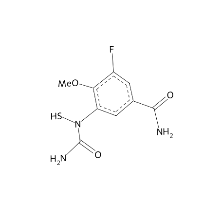 COc1c(F)cc(C(N)=O)cc1N(S)C(N)=O